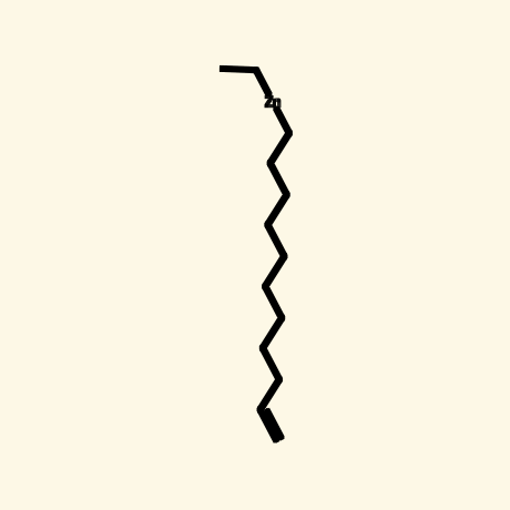 C=CCCCCCCCC[CH2][Zn][CH2]C